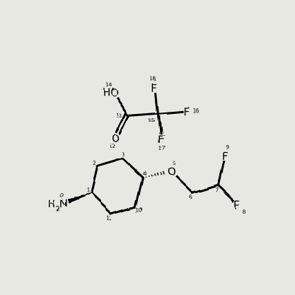 N[C@H]1CC[C@H](OCC(F)F)CC1.O=C(O)C(F)(F)F